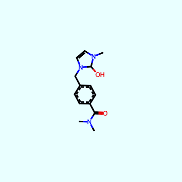 CN(C)C(=O)c1ccc(CN2C=CN(C)C2O)cc1